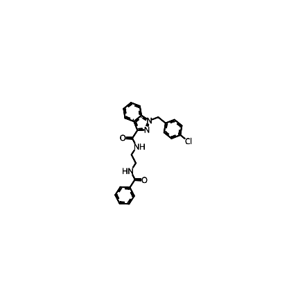 O=C(NCCNC(=O)c1nn(Cc2ccc(Cl)cc2)c2ccccc12)c1ccccc1